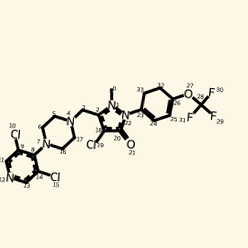 Cn1c(CN2CCN(c3c(Cl)cncc3Cl)CC2)c(Cl)c(=O)n1C1=CC=C(OC(F)(F)F)CC1